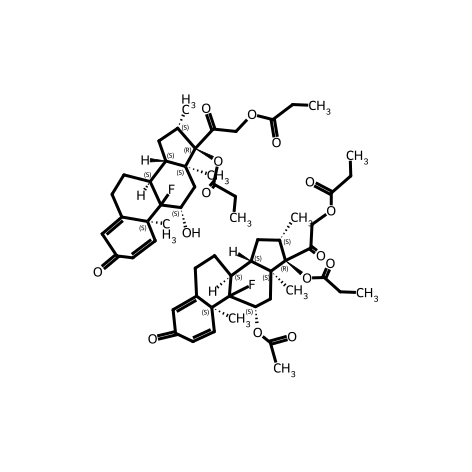 CCC(=O)OCC(=O)[C@@]1(OC(=O)CC)[C@@H](C)C[C@H]2[C@@H]3CCC4=CC(=O)C=C[C@]4(C)C3(F)[C@@H](O)C[C@@]21C.CCC(=O)OCC(=O)[C@@]1(OC(=O)CC)[C@@H](C)C[C@H]2[C@@H]3CCC4=CC(=O)C=C[C@]4(C)C3(F)[C@@H](OC(C)=O)C[C@@]21C